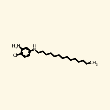 CCCCCCCCCCCCCCNc1ccc(Cl)c(N)c1